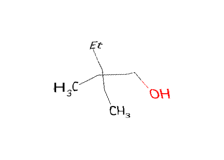 [CH2]CC(C)(C)CO